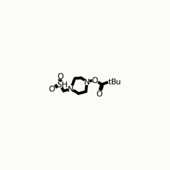 CC(C)(C)C(=O)ON1CCN(C[SH](=O)=O)CC1